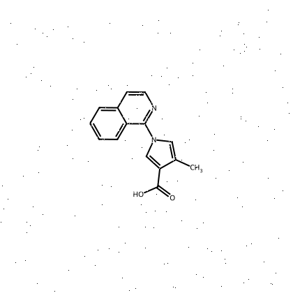 Cc1cn(-c2nccc3ccccc23)cc1C(=O)O